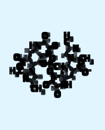 Cc1cn(-c2cc3c(cc2[N+](=O)[O-])[nH]c(=O)c(=O)n3OP(C)(=O)On2c(=O)c(=O)[nH]c3cc([N+](=O)[O-])c(-n4cc(C)nc4C)cc32)c(C)n1